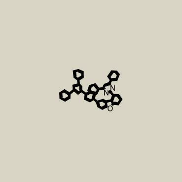 c1ccc(-c2cc(-c3ccccc3)cc(-c3ccc(-c4ccc5oc6cccc(-c7nc(-c8ccccc8)cc(-c8ccccc8)n7)c6c5c4)cc3)c2)cc1